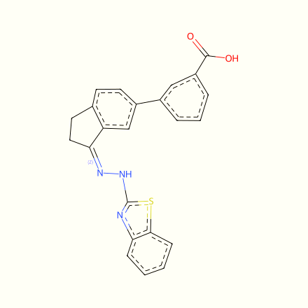 O=C(O)c1cccc(-c2ccc3c(c2)/C(=N\Nc2nc4ccccc4s2)CC3)c1